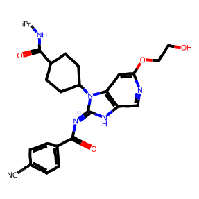 CC(C)NC(=O)C1CCC(n2/c(=N/C(=O)c3ccc(C#N)cc3)[nH]c3cnc(OCCO)cc32)CC1